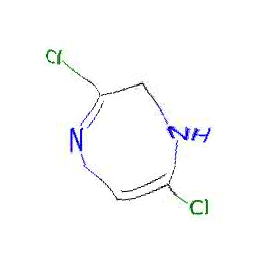 ClC1=CN=C(Cl)CN1